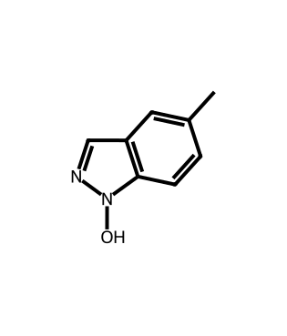 Cc1ccc2c(cnn2O)c1